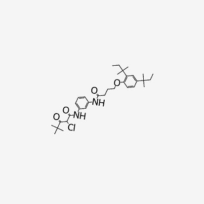 CCC(C)(C)c1ccc(OCCCC(=O)Nc2cccc(NC(=O)C(Cl)C(=O)C(C)(C)C)c2)c(C(C)(C)CC)c1